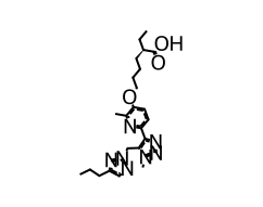 CCCc1cnn(Cc2c(-c3ccc(OCCCC[C@@H](CC)C(=O)O)c(C)n3)nnn2C)n1